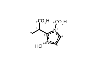 CC(C(=O)O)c1nccn1C(=O)O.Cl